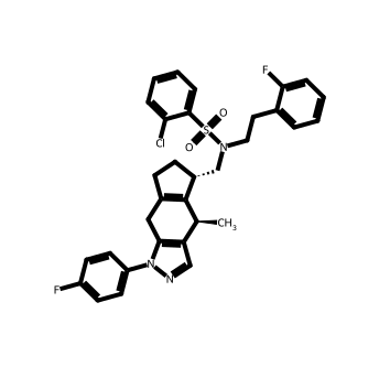 C[C@@H]1C2=C(CC[C@@H]2CN(CCc2ccccc2F)S(=O)(=O)c2ccccc2Cl)Cc2c1cnn2-c1ccc(F)cc1